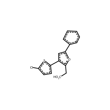 O=C(O)Cc1oc(-c2ccccc2)cc1-c1ccc(Cl)s1